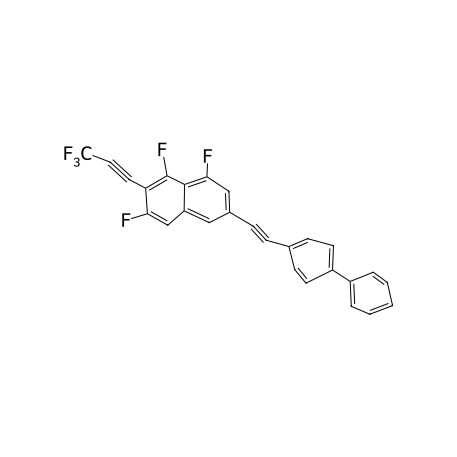 Fc1cc2cc(C#Cc3ccc(-c4ccccc4)cc3)cc(F)c2c(F)c1C#CC(F)(F)F